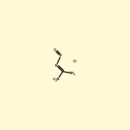 NC(N)=NP=O.[Cr]